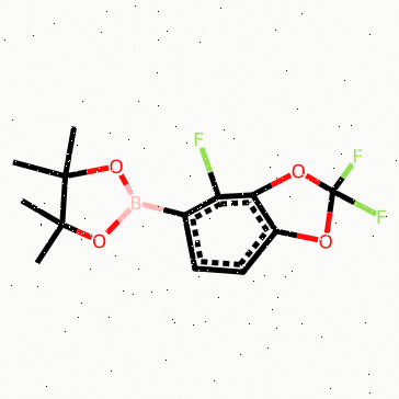 CC1(C)OB(c2ccc3c(c2F)OC(F)(F)O3)OC1(C)C